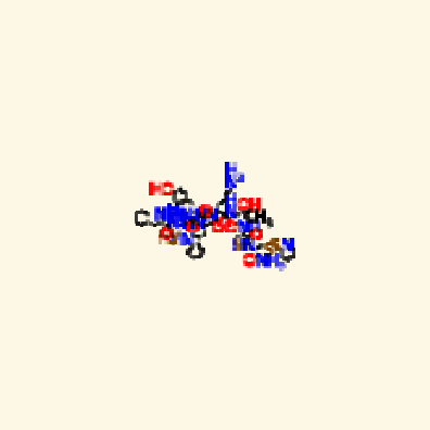 CC(O)C(NC(=O)C(CCCCN)NC(=O)C(Cc1c[nH]c2ccccc12)NC(=O)C(Cc1ccc(O)cc1)NC(=O)C(CS)NC(=O)C(N)Cc1ccccc1)C(=O)NC(CS)C(=O)NC(CSSc1ccccn1)C(N)=O